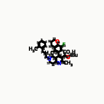 Cc1ccccc1CCCN1CCc2nc(C)c([C@H](OC(C)(C)C)C(=O)O)c(-c3cc(F)c4c(c3C)CCCO4)c2C1